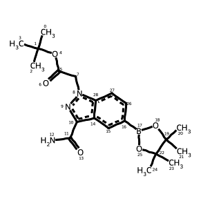 CC(C)(C)OC(=O)Cn1nc(C(N)=O)c2cc(B3OC(C)(C)C(C)(C)O3)ccc21